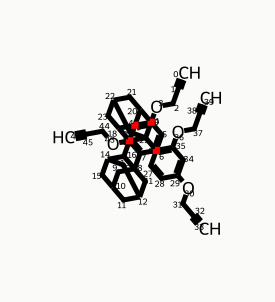 C#CCOc1ccc(C23CC4CC(CC(C4)C2C2C4CC5CC(C4)CC2(c2ccc(OCC#C)cc2OCC#C)C5)C3)c(OCC#C)c1